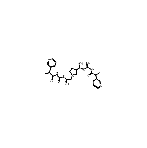 CC(C(=O)NC(=N)SC(=N)C[C@H]1CCC(C(=N)SC(=N)NC(=O)C(C)c2cccnc2)C1)c1cccnc1